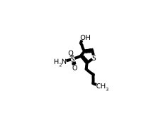 CCCCc1scc(CO)c1S(N)(=O)=O